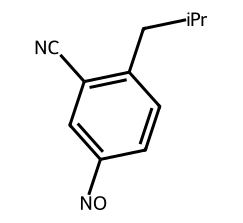 CC(C)Cc1ccc(N=O)cc1C#N